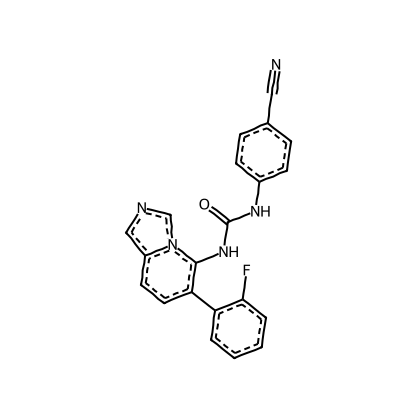 N#Cc1ccc(NC(=O)Nc2c(-c3ccccc3F)ccc3cncn23)cc1